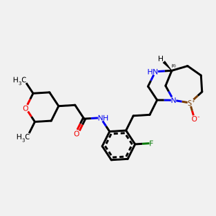 CC1CC(CC(=O)Nc2cccc(F)c2CCC2CN[C@@H]3CCC[S+]([O-])N2C3)CC(C)O1